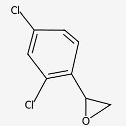 Clc1ccc(C2CO2)c(Cl)c1